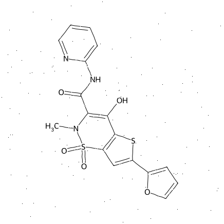 CN1C(C(=O)Nc2ccccn2)=C(O)c2sc(-c3ccco3)cc2S1(=O)=O